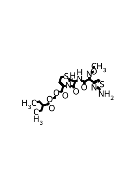 CCC(CC)C(=O)OCOC(=O)C1=CCS[C@H]2C(NC(=O)C(=NOC)c3csc(N)n3)C(=O)N12